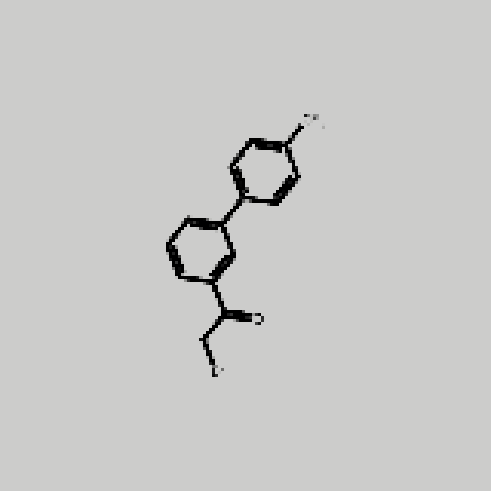 O=C(CBr)c1cccc(-c2ccc(C(F)(F)F)cc2)c1